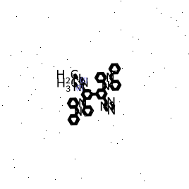 C=N/C=N\C(=N/C)c1cc(-c2cc(-c3ncncn3)cc(N3c4ccccc4N(c4ccccc4)c4ccccc43)c2)cc(N2c3ccccc3N(c3ccccc3)c3ccccc32)c1